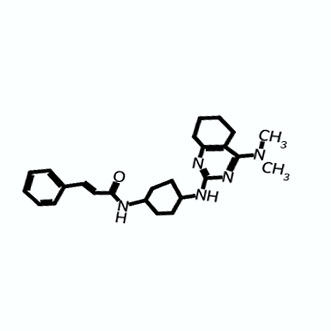 CN(C)c1nc(NC2CCC(NC(=O)C=Cc3ccccc3)CC2)nc2c1CCCC2